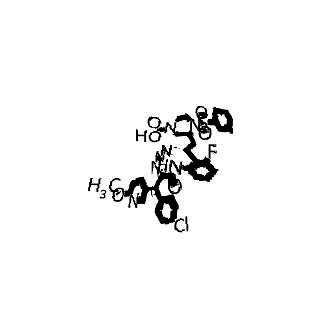 COc1ccc([C@H](c2ccc(Cl)cc2)[C@H](N=[N+]=[N-])C(=O)Nc2cccc(F)c2CCC2CN(C(=O)O)CCN2S(=O)(=O)c2ccccc2)cn1